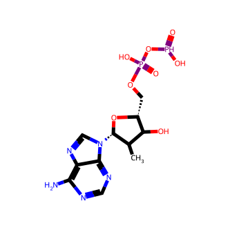 CC1C(O)[C@@H](COP(=O)(O)O[PH](=O)O)O[C@H]1n1cnc2c(N)ncnc21